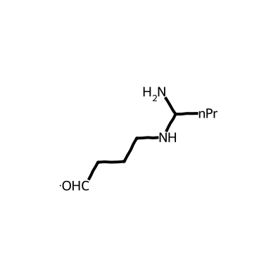 CCCC(N)NCCC[C]=O